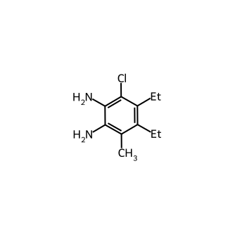 CCc1c(C)c(N)c(N)c(Cl)c1CC